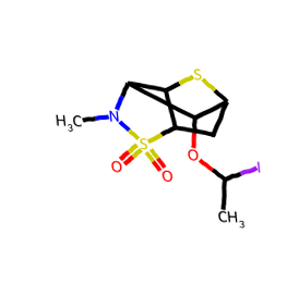 CC(I)OC1C2CC3C(S2)C1N(C)S3(=O)=O